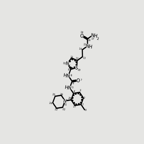 Cc1ccc(NC(=O)Nc2ncc(CCNC(N)=O)s2)c(N2CCCCC2)c1